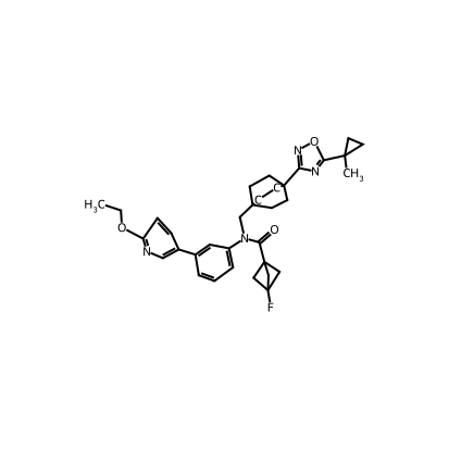 CCOc1ccc(-c2cccc(N(CC34CCC(c5noc(C6(C)CC6)n5)(CC3)CC4)C(=O)C34CC(F)(C3)C4)c2)cn1